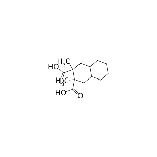 CC1(C(=O)O)CC2CCCCC2CC1(C)C(=O)O